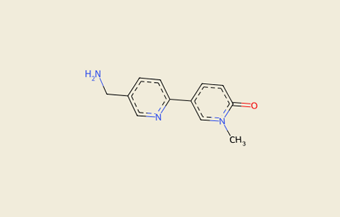 Cn1cc(-c2ccc(CN)cn2)ccc1=O